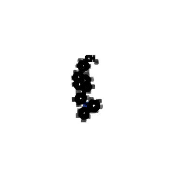 Cc1ccc(-c2ccc3ccc4c(-c5cccc(-n6c7ccccc7c7ccccc76)c5)ccc5ccc2c3c54)cc1